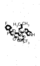 CC(C)=CCN1c2c(n(C)c(=O)n(CC(F)(F)c3ccc(F)cc3)c2=O)N(OC(=O)C(F)(F)F)C1N1CCC2CNCC21